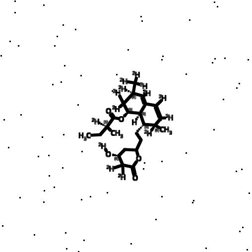 [2H]O[C@@H]1CC(CC[C@@H]2[C@@H]3C(=C([2H])[C@]([2H])(C([2H])([2H])[2H])C([2H])([2H])[C@@H]3OC(=O)[C@@]([2H])(C)CC)C([2H])=C([2H])[C@]2([2H])C)OC(=O)C1([2H])[2H]